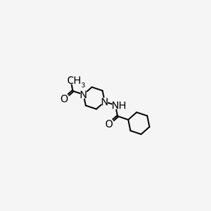 CC(=O)N1CCN(NC(=O)C2CCCCC2)CC1